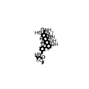 CCOC(=O)C(NCC1CCC(OC)C(C2CCC(O)C3C(O)C4C(O)[C@]5(O)C(=O)C(C(N)=O)=C(O)C[C@@H]5C[C@@H]4CC23)C1)C(C)C